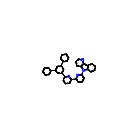 c1ccc(-c2cc(-c3ccccc3)cc(-c3cccc(-c4cccc(-n5c6ccccc6c6ncccc65)n4)n3)c2)cc1